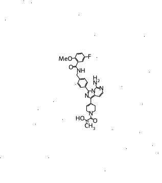 COc1ccc(F)cc1C(=O)NCc1ccc(-c2nc(C3=CCN(C(=O)[C@H](C)O)CC3)c3ccnc(N)n23)cc1